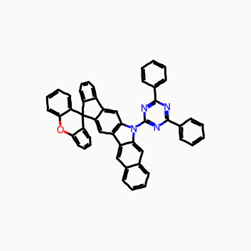 c1ccc(-c2nc(-c3ccccc3)nc(-n3c4cc5c(cc4c4cc6ccccc6cc43)C3(c4ccccc4Oc4ccccc43)c3ccccc3-5)n2)cc1